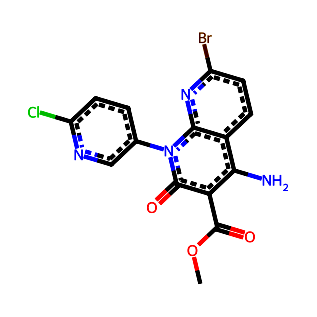 COC(=O)c1c(N)c2ccc(Br)nc2n(-c2ccc(Cl)nc2)c1=O